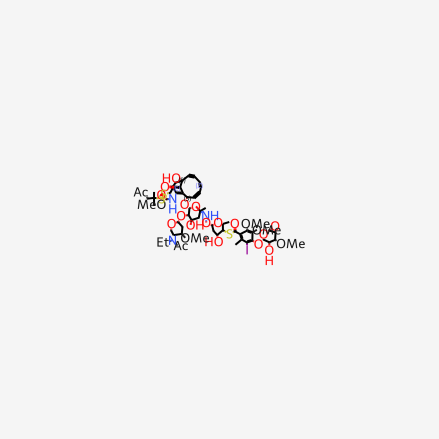 CCN(C(C)=O)C1COC(OC2C(O)CC(C)(NOC3CC(O)C(SC(=O)c4c(C)c(I)c(OC5OC6OC6C(OC)C5O)c(OC)c4OC)C(C)O3)OC2O[C@H]2C#C/C=C\C#C[C@]3(O)CC(=O)C(NC(=O)OC)=C2/C3=C\CSSC(C)(C)CC(C)=O)CC1OC